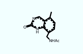 CC(=O)NCc1ccc(C)c2cnc(=O)[nH]c12